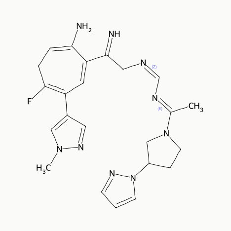 C/C(=N\C=N/CC(=N)C1=CC(c2cnn(C)c2)=C(F)CC=C1N)N1CCC(n2cccn2)C1